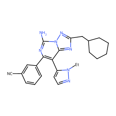 CCn1nccc1-c1c(-c2cccc(C#N)c2)nc(N)n2nc(CC3CCCCC3)nc12